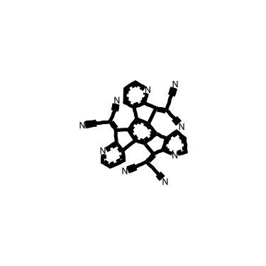 N#CC(C#N)=C1c2ncccc2-c2c1c1c(c3c2C(=C(C#N)C#N)c2ncccc2-3)C(=C(C#N)C#N)c2ncccc2-1